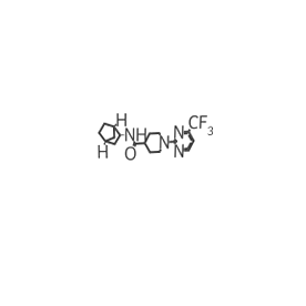 O=C(N[C@@H]1C[C@@H]2CC[C@H]1C2)C1CCN(c2nccc(C(F)(F)F)n2)CC1